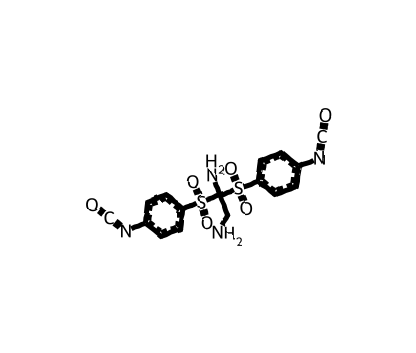 NCC(N)(S(=O)(=O)c1ccc(N=C=O)cc1)S(=O)(=O)c1ccc(N=C=O)cc1